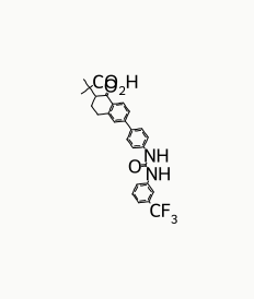 CC(C)(C(=O)O)C1CCc2cc(-c3ccc(NC(=O)Nc4cccc(C(F)(F)F)c4)cc3)ccc2C1=O